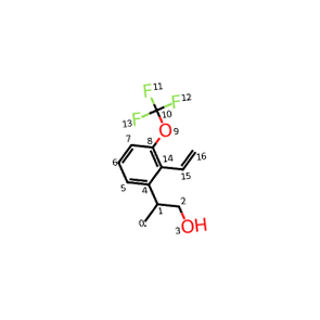 [CH2]C(CO)c1cccc(OC(F)(F)F)c1C=C